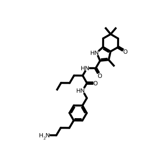 CCCCC(NC(=O)c1[nH]c2c(c1C)C(=O)CC(C)(C)C2)C(=O)NCc1ccc(CCCN)cc1